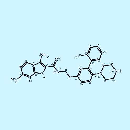 Cc1ccc2c(N)c(C(=O)NCCc3ccc(N4CCNCC4)c(-c4ccccc4F)c3)sc2n1